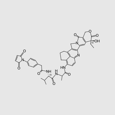 CC[C@@]1(O)C(=O)OCc2c1cc1n(c2=O)Cc2c-1nc1ccc(NC(=O)C(C)NC(=O)[C@@H](NC(=O)Cc3ccc(N4C(=O)C=CC4=O)cc3)C(C)C)c3c1c2CCC3